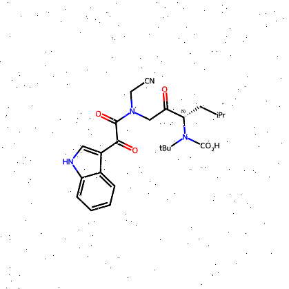 CC(C)C[C@@H](C(=O)CN(CC#N)C(=O)C(=O)c1c[nH]c2ccccc12)N(C(=O)O)C(C)(C)C